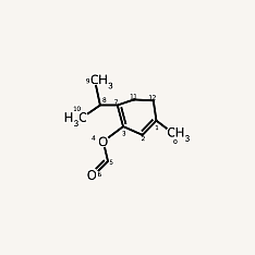 CC1=CC(OC=O)=C(C(C)C)CC1